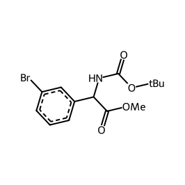 COC(=O)C(NC(=O)OC(C)(C)C)c1cccc(Br)c1